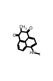 CC1C(=O)c2cccc3c(NI)ccc(c23)C1=O